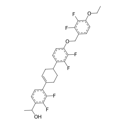 CCOc1ccc(COc2ccc(C3CC=C(c4ccc(C(C)O)c(F)c4F)CC3)c(F)c2F)c(F)c1F